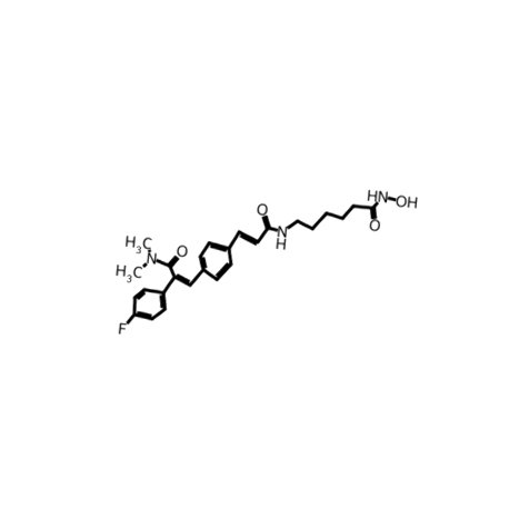 CN(C)C(=O)C(=Cc1ccc(C=CC(=O)NCCCCCC(=O)NO)cc1)c1ccc(F)cc1